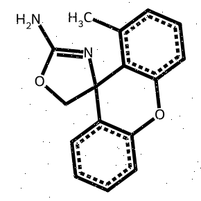 Cc1cccc2c1C1(COC(N)=N1)c1ccccc1O2